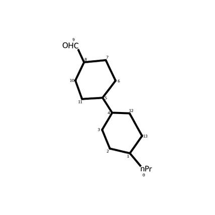 CCCC1CCC(C2CCC(C=O)CC2)CC1